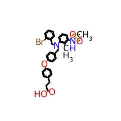 Cc1c(NS(C)(=O)=O)cccc1N(Cc1ccc(Oc2ccc(CCC(=O)O)cc2)cc1)Cc1ccccc1Br